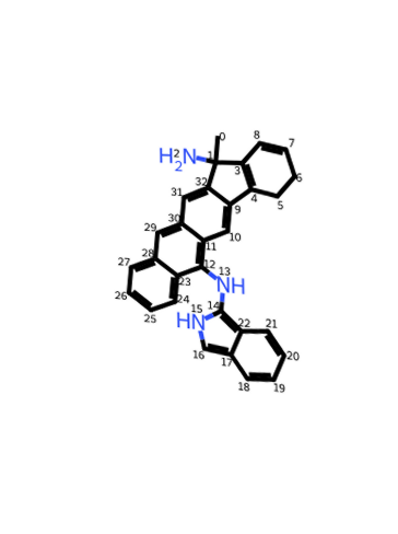 CC1(N)C2=C(CCC=C2)c2cc3c(Nc4[nH]cc5ccccc45)c4ccccc4cc3cc21